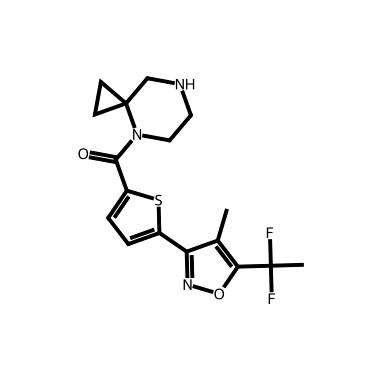 Cc1c(-c2ccc(C(=O)N3CCNCC34CC4)s2)noc1C(C)(F)F